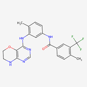 Cc1ccc(NC(=O)c2ccc(C)c(C(F)(F)F)c2)cc1Nc1ncnc2c1OCCN2